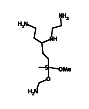 CO[Si](C)(CCC(CCN)NCCN)OCN